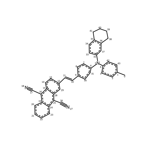 Cc1ccc(N(c2ccc(C=Cc3ccc4c(C#N)c5ccccc5c(C#N)c4c3)cc2)c2ccc3c(c2)CCCC3)cc1